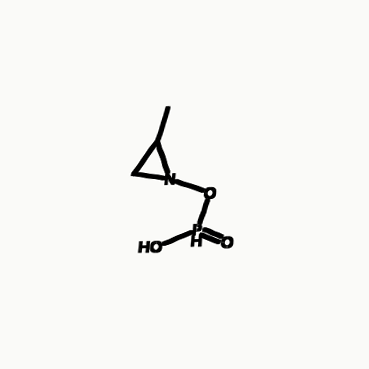 CC1CN1O[PH](=O)O